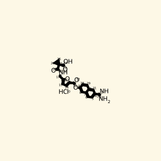 Cl.N=C(N)c1ccc2cc(OC(=O)c3ccc(CNC(=O)C4(C(=O)O)CC4)o3)ccc2c1